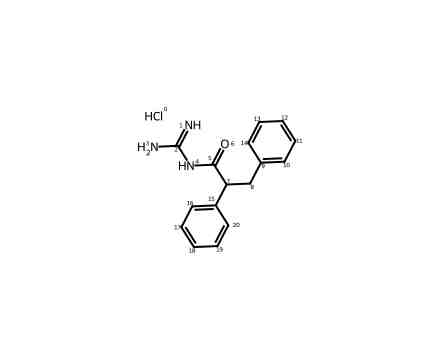 Cl.N=C(N)NC(=O)C(Cc1ccccc1)c1ccccc1